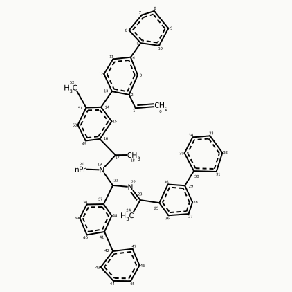 C=Cc1cc(-c2ccccc2)ccc1-c1cc(C(C)N(CCC)C(/N=C(\C)c2cccc(-c3ccccc3)c2)c2cccc(-c3ccccc3)c2)ccc1C